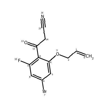 C=CCOc1cc(Br)cc(F)c1C(=O)CC#N